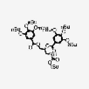 CCCCOc1cc(C(=O)OCC(CNC(=O)OC(C)(C)C)OC(=O)c2cc(OCCCC)c(OCCCC)c(OCCCC)c2)cc(OCCCC)c1OCCCC